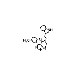 Cc1cccc(-c2ncncc2C(=O)N(CCc2c[nH]c3ccccc23)CC2CC2)c1